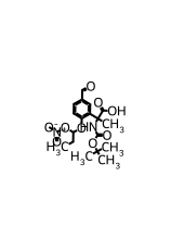 CCC(Oc1ccc(C=O)cc1C(C)(NC(=O)OC(C)(C)C)C(=O)O)O[N+](=O)[O-]